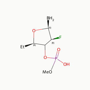 B[C@@H]1O[C@H](CC)C(OP(=O)(O)OC)[C@@H]1F